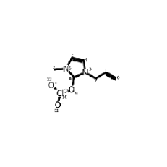 C=CCN1C=CN(C)C1O[Cl+2]([O-])[O-]